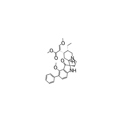 CC[C@@H]1CN2CC[C@]3(Nc4ccc(-c5ccccc5)c(OC)c4C3=O)[C@@H]2C[C@@H]1/C(=C\OC)C(=O)OC